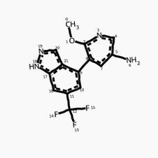 COc1ncc(N)cc1-c1cc(C(F)(F)F)cc2[nH]ncc12